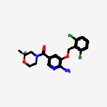 C[C@@H]1CN(C(=O)c2cnc(N)c(OCc3c(Cl)cccc3Cl)c2)CCO1